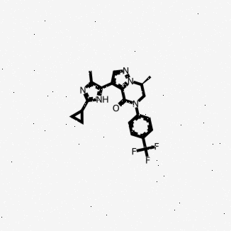 Cc1nc(C2CC2)[nH]c1-c1cnn2c1C(=O)N(c1ccc(C(F)(F)F)cc1)C[C@@H]2C